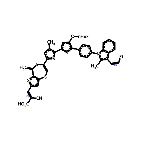 C=C1SC(c2cc(C)c(-c3cc(OCCCCCC)c(-c4ccc(-n5c(C)c(/C=C\CC)c6ccccc65)cc4)s3)s2)=CSc2cc(/C=C(\C#N)C(=O)O)sc21